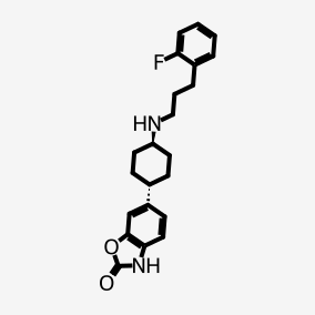 O=c1[nH]c2ccc([C@H]3CC[C@H](NCCCc4ccccc4F)CC3)cc2o1